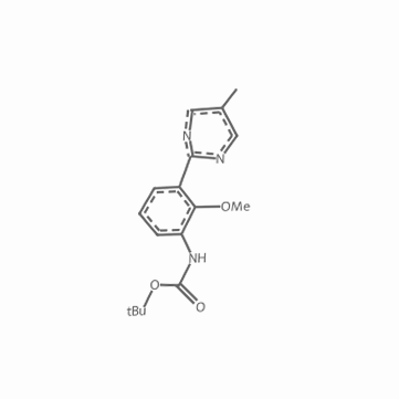 COc1c(NC(=O)OC(C)(C)C)cccc1-c1ncc(C)cn1